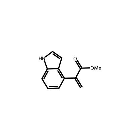 C=C(C(=O)OC)c1cccc2[nH]ccc12